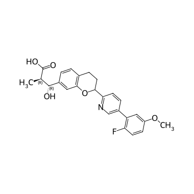 COc1ccc(F)c(-c2ccc(C3CCc4ccc([C@H](O)[C@@H](C)C(=O)O)cc4O3)nc2)c1